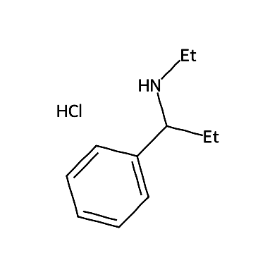 CCNC(CC)c1ccccc1.Cl